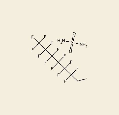 CCC(F)(F)C(F)(F)C(F)(F)C(F)(F)C(F)(F)C(F)(F)F.NS(N)(=O)=O